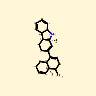 CC1CC=C(C2=C[C@@H]3NC4C=CC=CC4C3CC2)C2CCC=C[C@H]12